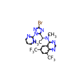 CC(c1nc(Br)nn1-c1ncccn1)N(C)c1ncnc2c(C(F)(F)F)cc(C(F)(F)F)cc12